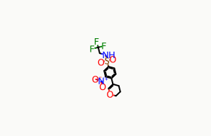 O=[N+]([O-])c1cc(S(=O)(=O)NCC(F)(F)F)ccc1C1=COCCC1